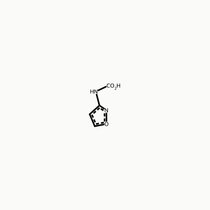 O=C(O)Nc1ccon1